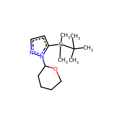 CC(C)(C)[Si](C)(C)c1ccnn1C1CCCCO1